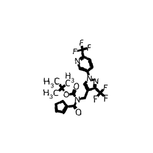 CC(C)(C)OC(=O)N(Cc1cn(-c2ccc(C(F)(F)F)nc2)nc1C(F)(F)F)C(=O)C1=CCCC1